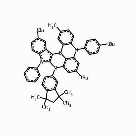 Cc1ccc2c(c1)B1c3c(cc(C(C)(C)C)cc3N(c3ccc4c(c3)C(C)(C)CC4(C)C)c3c1c1cc(C(C)(C)C)ccc1n3-c1ccccc1)N2c1ccc(C(C)(C)C)cc1